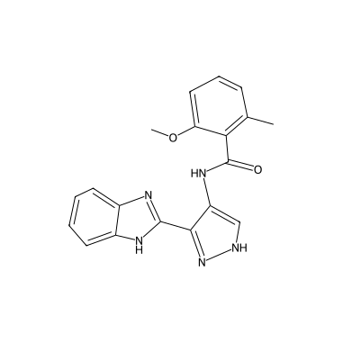 COc1cccc(C)c1C(=O)Nc1c[nH]nc1-c1nc2ccccc2[nH]1